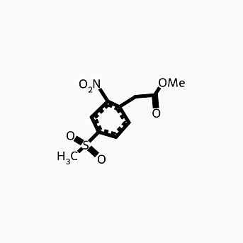 COC(=O)Cc1ccc(S(C)(=O)=O)cc1[N+](=O)[O-]